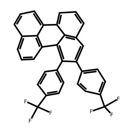 FC(F)(F)c1ccc(-c2cc3cccc4c5cccc6cccc(c(c2-c2ccc(C(F)(F)F)cc2)c34)c65)cc1